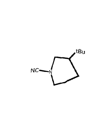 CC(C)(C)C1CCCN(C#N)C1